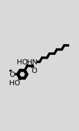 CCCCCCCCCNC(=O)C(O)c1ccc(O)c(OC)c1